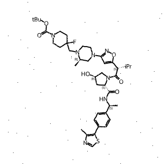 Cc1ncsc1-c1ccc([C@H](C)NC(=O)[C@@H]2C[C@@H](O)CN2C(=O)[C@H](c2cc(N3CCN(CC4(F)CCN(C(=O)OC(C)(C)C)CC4)[C@H](C)C3)no2)C(C)C)cc1